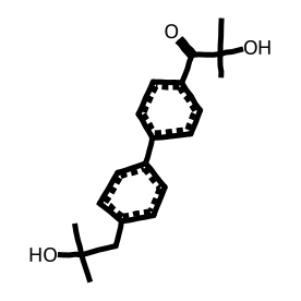 CC(C)(O)Cc1ccc(-c2ccc(C(=O)C(C)(C)O)cc2)cc1